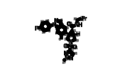 Cc1cc2c(cnn2-c2ccc(F)cc2)cc1[C@]12CN(S(=O)(=O)c3cnn(C)n3)C[C@H]1[C@@H]2C(=O)NCC(C)C